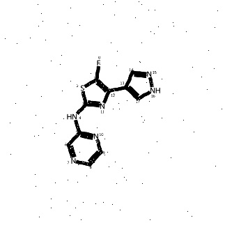 Fc1sc(Nc2cnccn2)nc1-c1cn[nH]c1